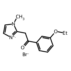 CCOc1cccc(C(=O)CC2=[N+]C=CN2C)c1.[Br-]